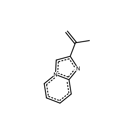 C=C(C)c1cn2ccccc2n1